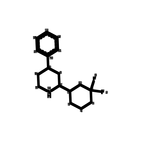 FC1(F)CCCC(C2CC(c3ccccc3)CCN2)C1